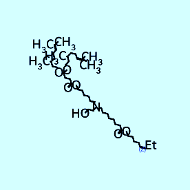 CC/C=C\CCCCOC(=O)CCCCCCCN(CCO)CCCCCCOC(=O)CCC(OCCC(C)CCC=C(C)C)OCCC(C)CCC=C(C)C